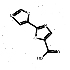 O=C(O)c1cnc(-c2cnco2)o1